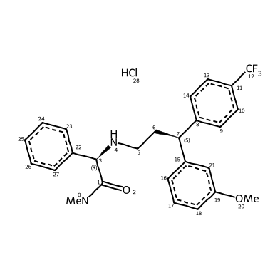 CNC(=O)[C@H](NCC[C@@H](c1ccc(C(F)(F)F)cc1)c1cccc(OC)c1)c1ccccc1.Cl